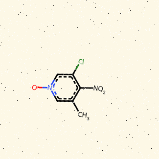 Cc1c[n+]([O-])cc(Cl)c1[N+](=O)[O-]